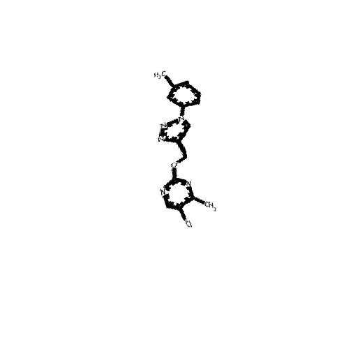 Cc1cccc(-n2cc(COc3ncc(Cl)c(C)n3)nn2)c1